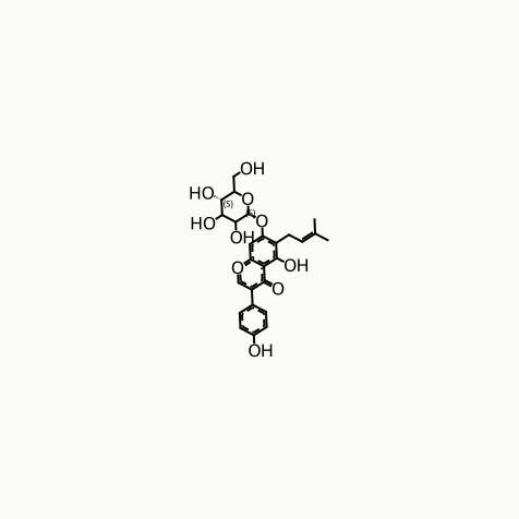 CC(C)=CCc1c(O[C@@H]2OC(CO)[C@@H](O)C(O)C2O)cc2occ(-c3ccc(O)cc3)c(=O)c2c1O